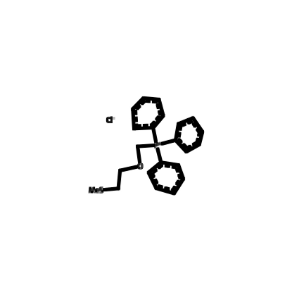 CSCCOC[P+](c1ccccc1)(c1ccccc1)c1ccccc1.[Cl-]